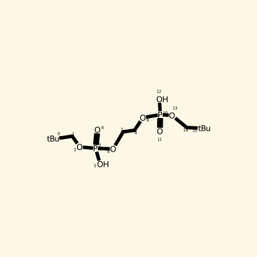 CC(C)(C)COP(=O)(O)OCCOP(=O)(O)OCC(C)(C)C